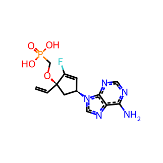 C=C[C@@]1(OCP(=O)(O)O)C[C@H](n2cnc3c(N)ncnc32)C=C1F